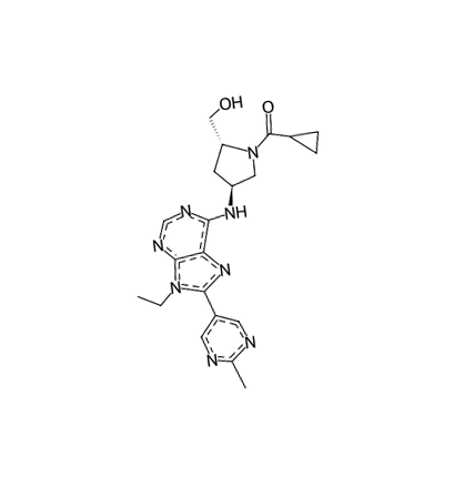 CCn1c(-c2cnc(C)nc2)nc2c(N[C@H]3C[C@H](CO)N(C(=O)C4CC4)C3)ncnc21